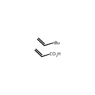 C=CC(=O)O.C=CCCCC